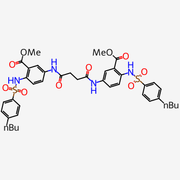 CCCCc1ccc(S(=O)(=O)Nc2ccc(NC(=O)CCC(=O)Nc3ccc(NS(=O)(=O)c4ccc(CCCC)cc4)c(C(=O)OC)c3)cc2C(=O)OC)cc1